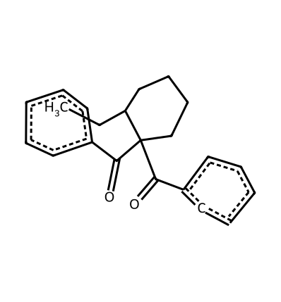 CCC1CCCCC1(C(=O)c1ccccc1)C(=O)c1ccccc1